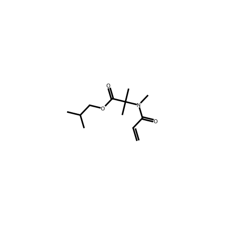 C=CC(=O)N(C)C(C)(C)C(=O)OCC(C)C